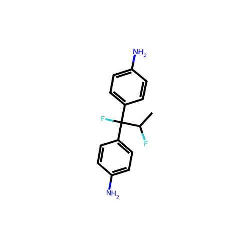 CC(F)C(F)(c1ccc(N)cc1)c1ccc(N)cc1